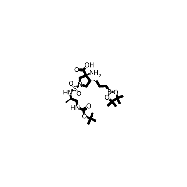 C[C@H](CNC(=O)OC(C)(C)C)NS(=O)(=O)N1C[C@@H](CCCB2OC(C)(C)C(C)(C)O2)[C@@](N)(C(=O)O)C1